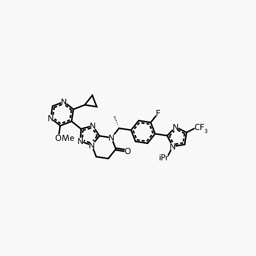 COc1ncnc(C2CC2)c1-c1nc2n(n1)CCC(=O)N2[C@H](C)c1ccc(-c2nc(C(F)(F)F)cn2C(C)C)c(F)c1